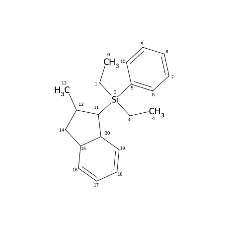 CC[Si](CC)(c1ccccc1)C1C(C)CC2C=CC=CC21